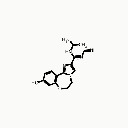 CC(C)N/C(=N\C=N)c1cn2c(n1)-c1ccc(O)cc1OCC2